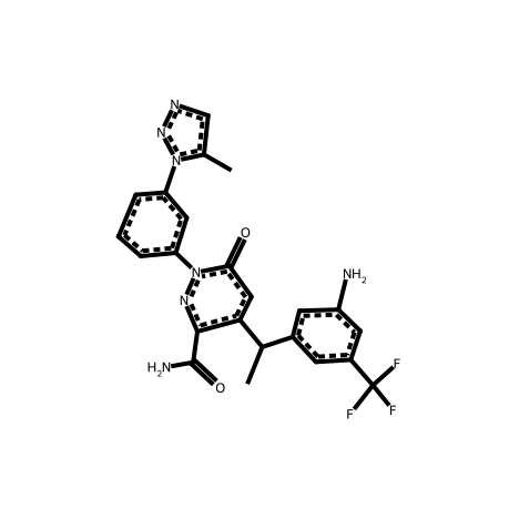 Cc1cnnn1-c1cccc(-n2nc(C(N)=O)c(C(C)c3cc(N)cc(C(F)(F)F)c3)cc2=O)c1